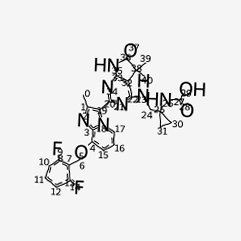 Cc1nc2c(OCc3c(F)cccc3F)cccn2c1-c1nc(NCC2(NC(=O)O)CC2)c2c(n1)NC(=O)C2(C)C